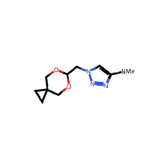 CNc1cn(CC2OCC3(CC3)CO2)nn1